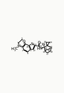 CN1CCOc2c1ccc1cc(C(=O)N[C@H]3C4CCN(CC4)C34CC4)sc21